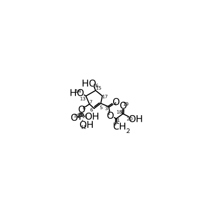 C=C(OC(=O)C1=CC(OP(=O)(O)O)C(O)C(O)C1)C(=O)O